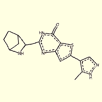 Cc1[nH]ncc1-c1cc2nc(C3NC4CCC3C4)[nH]c(=O)c2s1